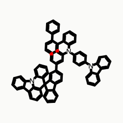 c1ccc(-c2ccccc2-c2ccccc2N(c2ccc(-n3c4ccccc4c4ccccc43)cc2)c2cccc(-c3ccc4c(c3)C3(c5ccccc5-4)c4ccccc4-n4c5ccccc5c5cccc3c54)c2)cc1